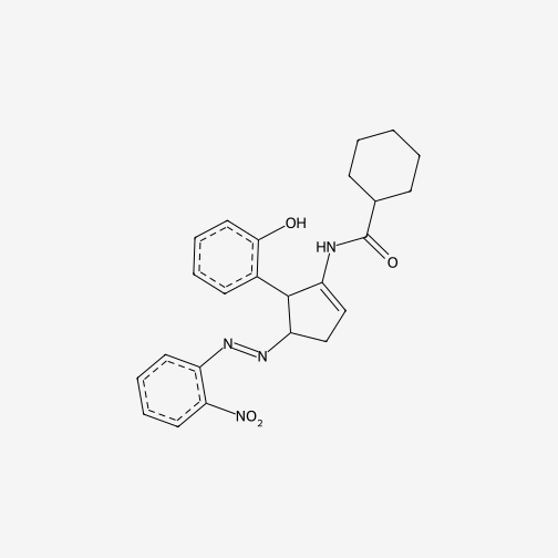 O=C(NC1=CCC(N=Nc2ccccc2[N+](=O)[O-])C1c1ccccc1O)C1CCCCC1